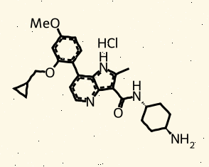 COc1ccc(-c2ccnc3c(C(=O)N[C@H]4CC[C@H](N)CC4)c(C)[nH]c23)c(OCC2CC2)c1.Cl